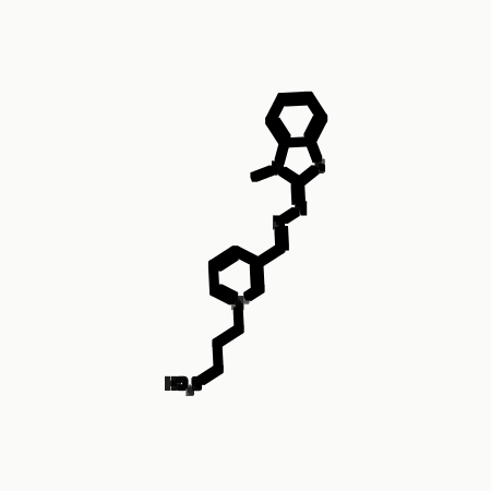 Cn1c(=NN=Cc2ccc[n+](CCCS(=O)(=O)O)c2)sc2ccccc21